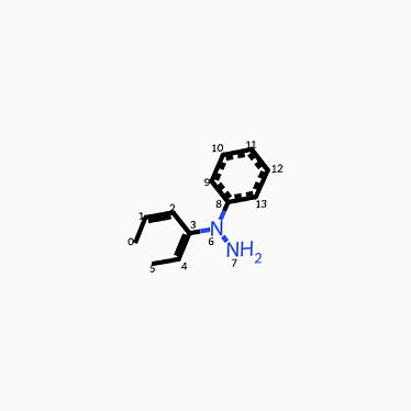 C/C=C\C(=C/C)N(N)c1ccccc1